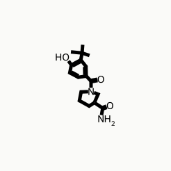 CC(C)(C)c1cc(C(=O)N2CCCC(C(N)=O)C2)ccc1O